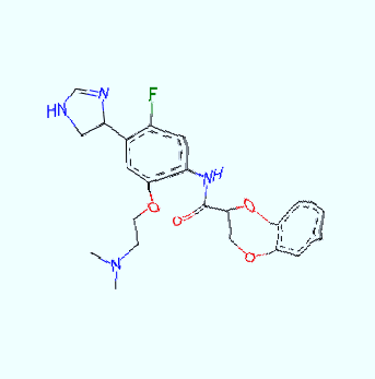 CN(C)CCOc1cc(C2CNC=N2)c(F)cc1NC(=O)C1COc2ccccc2O1